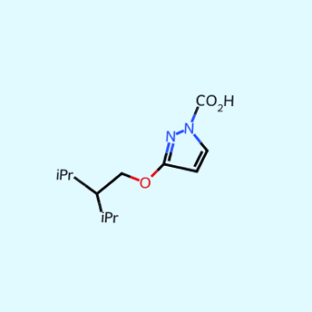 CC(C)C(COc1ccn(C(=O)O)n1)C(C)C